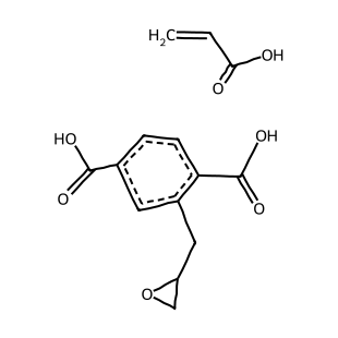 C=CC(=O)O.O=C(O)c1ccc(C(=O)O)c(CC2CO2)c1